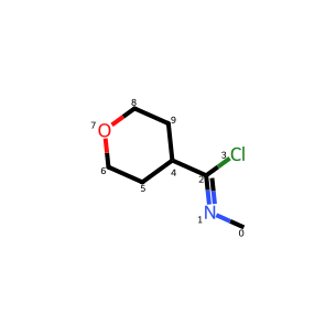 CN=C(Cl)C1CCOCC1